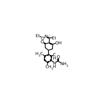 CCO/N=C(/CC)C1=C(O)CC(c2c(C)cc(C)c(NC(N)=O)c2C)CC1=O